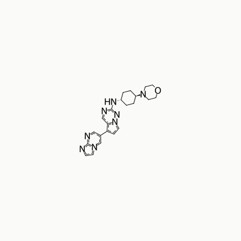 c1cn2cc(-c3ccn4nc(N[C@H]5CC[C@H](N6CCOCC6)CC5)ncc34)cnc2n1